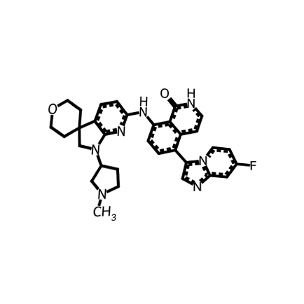 CN1CCC(N2CC3(CCOCC3)c3ccc(Nc4ccc(-c5cnc6cc(F)ccn56)c5cc[nH]c(=O)c45)nc32)C1